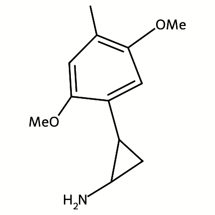 COc1cc(C2CC2N)c(OC)cc1C